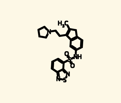 CC1=C(CCN2CCCC2)c2cc(NS(=O)(=O)c3cccc4nsnc34)ccc2C1